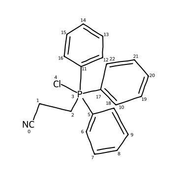 N#CCCP(Cl)(c1ccccc1)(c1ccccc1)c1ccccc1